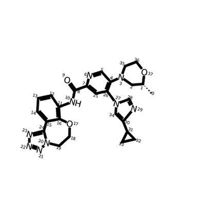 C[C@@H]1CN(c2cnc(C(=O)Nc3cccc4c3OCCn3nnnc3-4)cc2-n2cnc(C3CC3)c2)CCO1